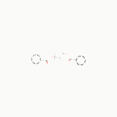 CCC(OC(=O)c1ccccc1)C(C)C(C)(C)OC(=O)c1ccccc1